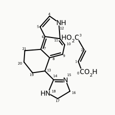 O=C(O)C=CC(=O)O.c1cc2c3c(ccc2[nH]1)C(C1=NCCN1)CCC3